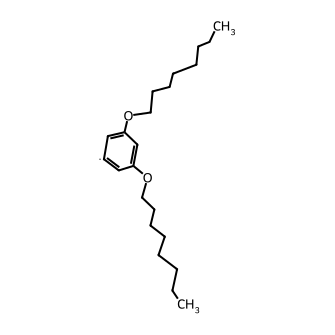 CCCCCCCCOc1c[c]cc(OCCCCCCCC)c1